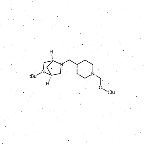 CC(C)(C)OCN1CCC(CN2C[C@@H]3C[C@H]2CN3C(C)(C)C)CC1